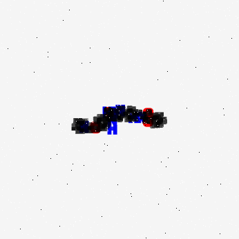 O=C(NCc1ccc(-c2cc(NC(=O)c3ccc(OCCN4CCCC4)cc3)[nH]n2)cc1)Oc1ccccc1